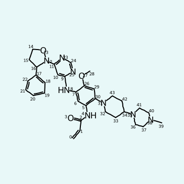 C=CC(=O)Nc1cc(Nc2cc(N3OCCC3c3ccccc3)ncn2)c(OC)cc1N1CCC(N2CCN(C)CC2)CC1